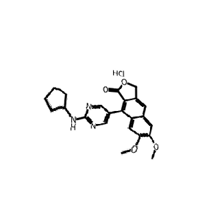 COc1cc2cc3c(c(-c4cnc(NC5CCCC5)nc4)c2cc1OC)C(=O)OC3.Cl